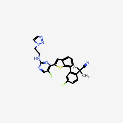 CC(C)(C#N)c1ccc(F)cc1-c1cccc2cc(-c3nc(NCCn4ccnn4)ncc3F)sc12